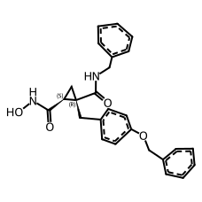 O=C(NO)[C@H]1C[C@]1(Cc1ccc(OCc2ccccc2)cc1)C(=O)NCc1ccccc1